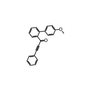 COc1ccc(-c2ccccc2C(=O)C#Cc2ccccc2)cc1